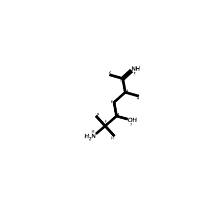 CC(=N)C(C)CC(O)C(C)(C)N